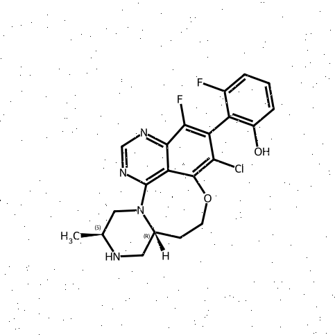 C[C@H]1CN2c3ncnc4c(F)c(-c5c(O)cccc5F)c(Cl)c(c34)OCC[C@@H]2CN1